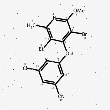 CCc1c(C)nc(OC)c(Br)c1Oc1cc(Cl)cc(C#N)c1